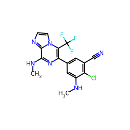 CNc1cc(-c2nc(NC)c3nccn3c2C(F)(F)F)cc(C#N)c1Cl